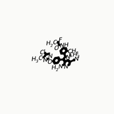 C=C(F)C(=O)Nc1ccc(-c2c(-c3ccc(Oc4ncc(Cl)c(C)n4)cc3)c3c(N)ncc(C#N)c3n2C)c(C)c1